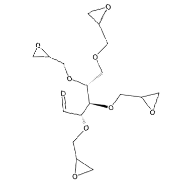 O=C[C@@H](OCC1CO1)[C@H](OCC1CO1)[C@@H](COCC1CO1)OCC1CO1